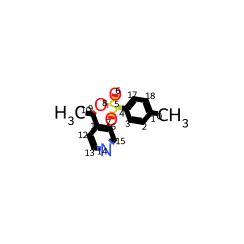 Cc1ccc(S(=O)(=O)OC(C)c2ccncc2)cc1